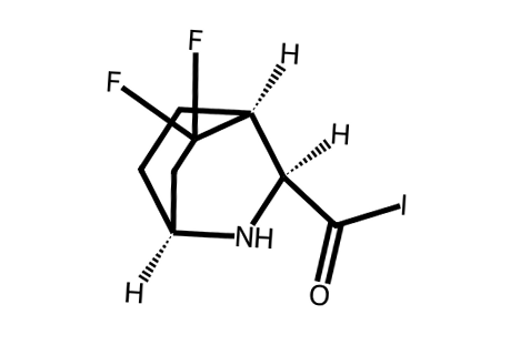 O=C(I)[C@H]1N[C@H]2CC[C@@H]1C(F)(F)C2